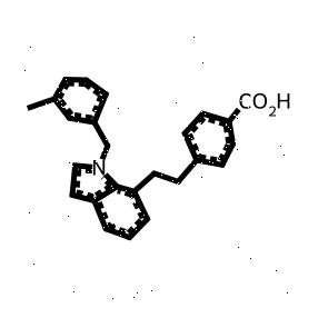 Cc1cccc(Cn2ccc3cccc(CCc4ccc(C(=O)O)cc4)c32)c1